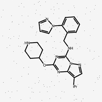 CC(C)c1cnn2c(NCc3ccccc3-n3cccn3)nc(OC3CCNCC3)nc12